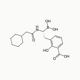 O=C(CC1CCCCC1)N[C@@H](Cc1cccc(C(=O)O)c1O)B(O)O